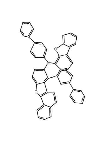 c1ccc(-c2ccc(N(c3ccc4oc5c6ccccc6ccc5c4c3-c3cccc(-c4ccccc4)c3)c3cccc4c3oc3ccccc34)cc2)cc1